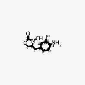 CN1C(=O)OCC1Cc1ccc(N)c(I)c1